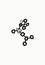 C1=CC2c3ccccc3C3(c4ccccc4Oc4ccc(-c5nc(-c6ccccc6)nc(-c6ccc(-c7cc(-c8ccccc8)cc(-c8ccccc8)c7)cc6)n5)cc43)C2C=C1